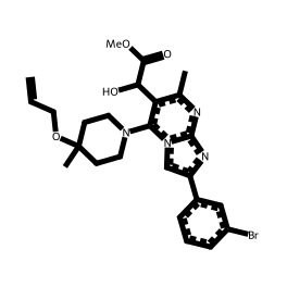 C=CCOC1(C)CCN(c2c(C(O)C(=O)OC)c(C)nc3nc(-c4cccc(Br)c4)cn23)CC1